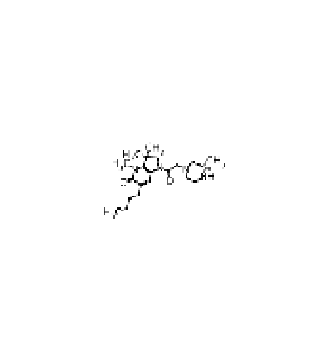 CCCCc1cc2c(n(C)c1=O)C(C)(C)CN2C(=O)CN1CCN[C@H](C)C1